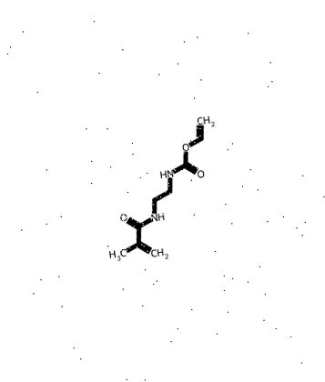 C=COC(=O)NCCNC(=O)C(=C)C